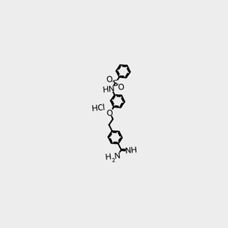 Cl.N=C(N)c1ccc(CCOc2cccc(NS(=O)(=O)c3ccccc3)c2)cc1